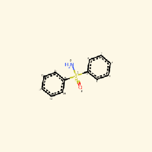 N[SH](=O)(c1ccccc1)c1ccccc1